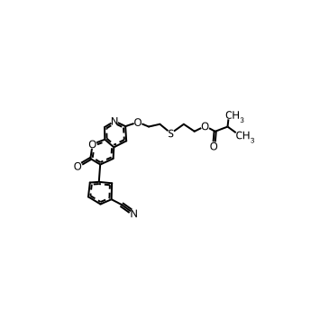 CC(C)C(=O)OCCSCCOc1cc2cc(-c3cccc(C#N)c3)c(=O)oc2cn1